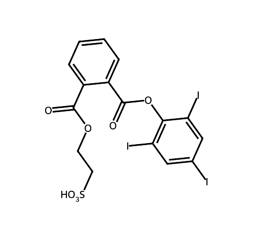 O=C(OCCS(=O)(=O)O)c1ccccc1C(=O)Oc1c(I)cc(I)cc1I